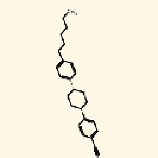 CCCCCCc1ccc([C@H]2CC[C@H](c3ccc(C#N)cc3)CC2)cc1